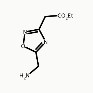 CCOC(=O)Cc1noc(CN)n1